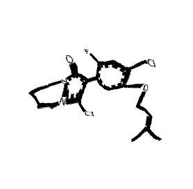 CC(C)=CCOc1cc(-c2c(Cl)n3n(c2=O)CCCC3)c(F)cc1Cl